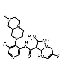 CN1CCN2CCN(c3c(F)cncc3NC(=O)C3C(N)NN4CC(F)=CNC34)CC2C1